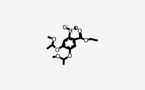 CCOC(=O)c1cc(OC(C)OC)c(OC(C)OC)cc1[N+](=O)[O-]